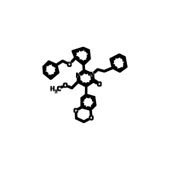 COCc1nc(-c2ccccc2OCc2ccccc2)n(CCc2ccccc2)c(=O)c1-c1ccc2c(c1)OCCO2